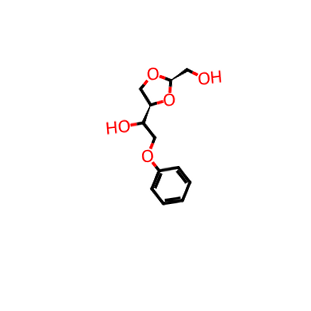 OC[C@@H]1OC[C@H](C(O)COc2ccccc2)O1